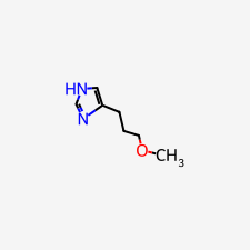 COCCCc1c[nH]cn1